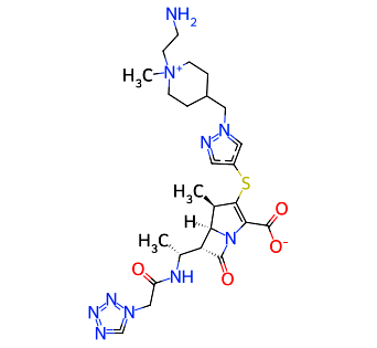 C[C@@H](NC(=O)Cn1cnnn1)[C@H]1C(=O)N2C(C(=O)[O-])=C(Sc3cnn(CC4CC[N+](C)(CCN)CC4)c3)[C@H](C)[C@H]12